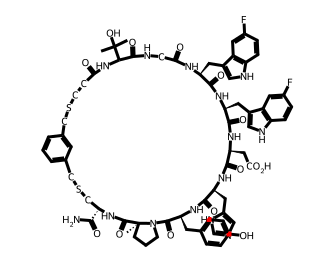 CC(C)(O)C1NC(=O)CCSCc2cccc(c2)CSC[C@@H](C(N)=O)NC(=O)[C@]2(C)CCCN2C(=O)[C@H](Cc2ccc(O)cc2)NC(=O)[C@H](Cc2cnc[nH]2)NC(=O)[C@H](CC(=O)O)NC(=O)[C@H](Cc2c[nH]c3ccc(F)cc23)NC(=O)[C@H](Cc2c[nH]c3ccc(F)cc23)NC(=O)CNC1=O